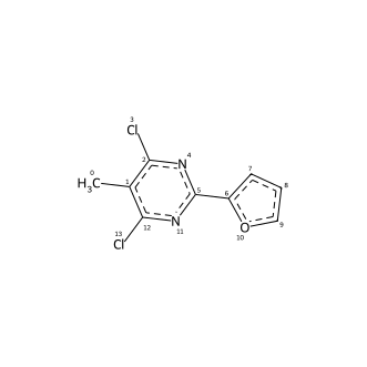 Cc1c(Cl)nc(-c2ccco2)nc1Cl